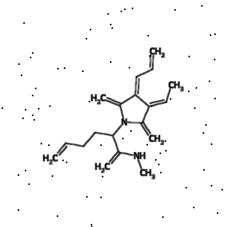 C=C/C=c1/c(=C)n(C(CCC=C)C(=C)NC)c(=C)/c1=C/C